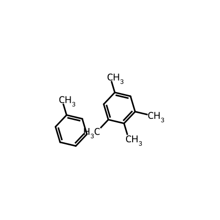 Cc1cc(C)c(C)c(C)c1.Cc1ccccc1